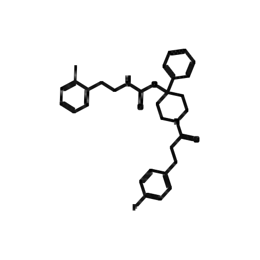 Cc1ccccc1CCNC(=O)OC1(c2ccccc2)CCN(C(=O)CCc2ccc(F)cc2)CC1